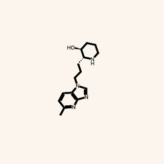 Cc1ccc2c(ncn2CCC[C@H]2NCCC[C@@H]2O)n1